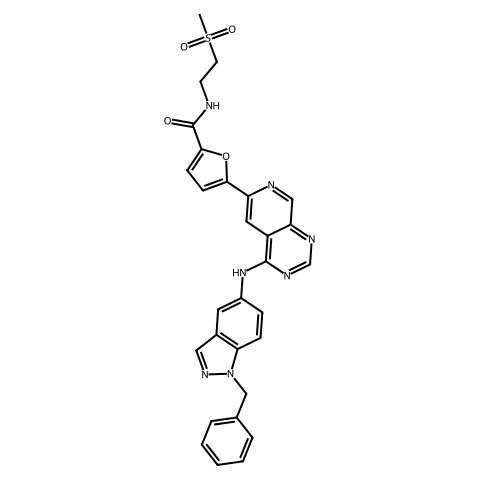 CS(=O)(=O)CCNC(=O)c1ccc(-c2cc3c(Nc4ccc5c(cnn5Cc5ccccc5)c4)ncnc3cn2)o1